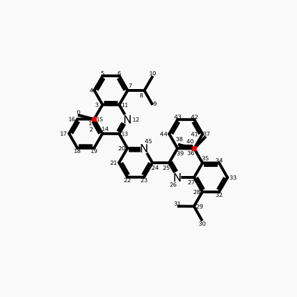 CC(C)c1cccc(C(C)C)c1/N=C(\c1ccccc1)c1cccc(/C(=N/c2c(C(C)C)cccc2C(C)C)c2ccccc2)n1